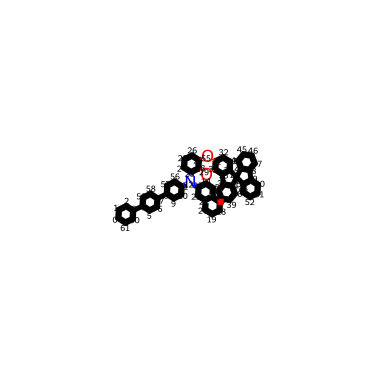 c1ccc(-c2ccc(-c3ccc(N(c4ccc5ccccc5c4)c4cccc5c4Oc4c(ccc6c4-c4ccccc4C64c6ccccc6-c6ccccc64)O5)cc3)cc2)cc1